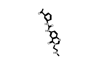 CNCCn1cnc2ccc(NC(=O)Nc3cccc(C(C)=O)c3)cc2c1=O